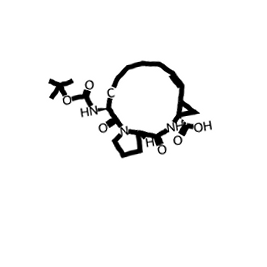 CC(C)(C)OC(=O)N[C@H]1CCCCC/C=C\C2C[C@@]2(C(=O)O)NC(=O)[C@@H]2CCCN2C1=O